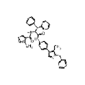 Cc1c(-c2ccc(NC(=O)C(NC(=O)c3ccnn3C)C(c3ccccc3)c3ccccc3)cc2)cnn1Cc1ccccc1